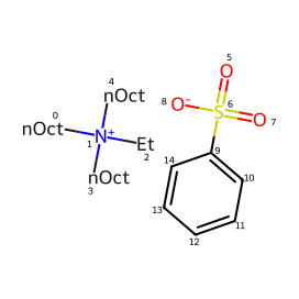 CCCCCCCC[N+](CC)(CCCCCCCC)CCCCCCCC.O=S(=O)([O-])c1ccccc1